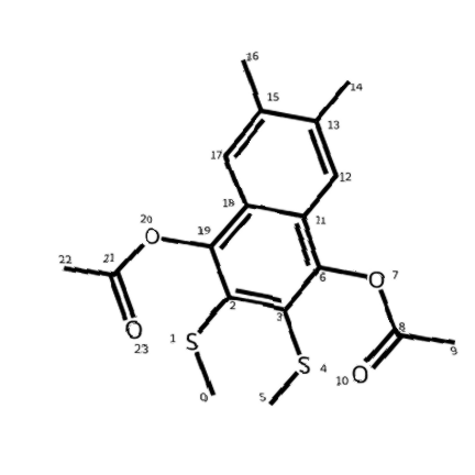 CSc1c(SC)c(OC(C)=O)c2cc(C)c(C)cc2c1OC(C)=O